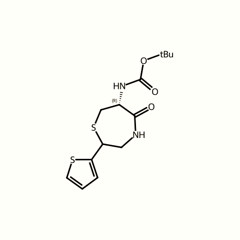 CC(C)(C)OC(=O)N[C@H]1CSC(c2cccs2)CNC1=O